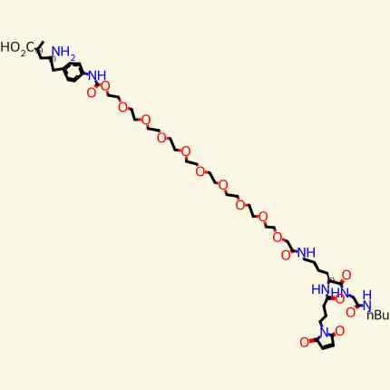 CCCCNC(=O)CNC(=O)[C@H](CCCCNC(=O)COCCOCCOCCOCCOCCOCCOCCOCCOCCOC(=O)Nc1ccc(C[C@H](N)C[C@H](C)C(=O)O)cc1)NC(=O)CCCN1C(=O)C=CC1=O